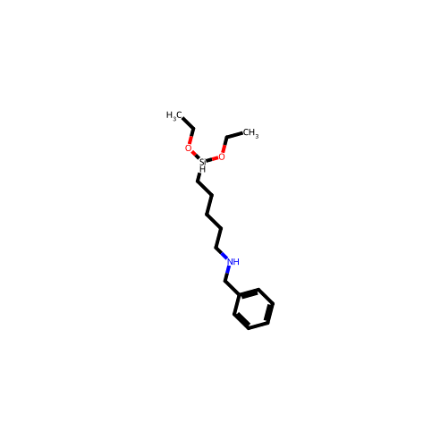 CCO[SiH](CCCCCNCc1ccccc1)OCC